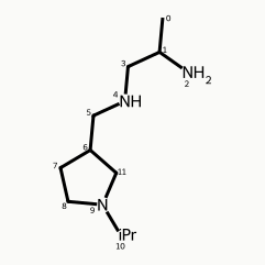 CC(N)CNCC1CCN(C(C)C)C1